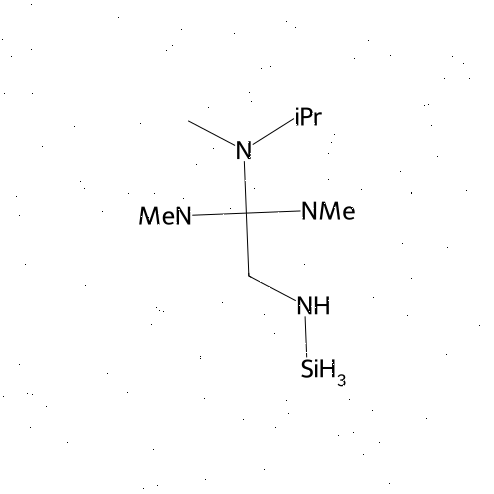 CNC(CN[SiH3])(NC)N(C)C(C)C